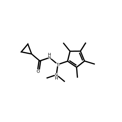 CC1=C(C)C(C)[C]([Ti]([NH]C(=O)C2CC2)[SiH](C)C)=C1C